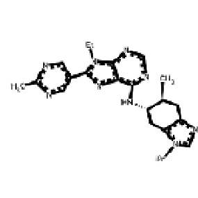 CCn1c(-c2cnc(C)nc2)nc2c(N[C@H]3Cc4c(ncn4C(C)C)C[C@@H]3C)ncnc21